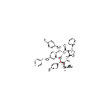 CC(C)(C)[Si](C)(C)O[C@@H](CC[C@@H](C(=O)N1C(=O)OC[C@@H]1c1ccccc1)[C@H](Nc1ccc(F)cc1)c1ccc(OCc2ccccc2)cc1OCc1ccccc1)c1ccc(F)cc1